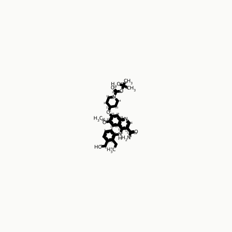 CCc1c(CO)cccc1Nc1c(C(N)=O)cnc2cc(OC3CCN(C(=O)OC(C)(C)C)CC3)c(OC)cc12